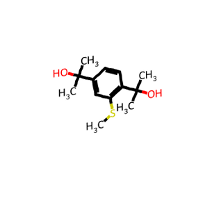 CSc1cc(C(C)(C)O)ccc1C(C)(C)O